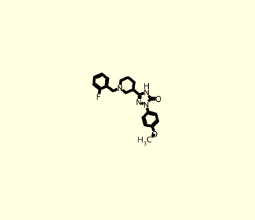 COc1ccc(-n2nc(C3CCCN(Cc4ccccc4F)C3)[nH]c2=O)cc1